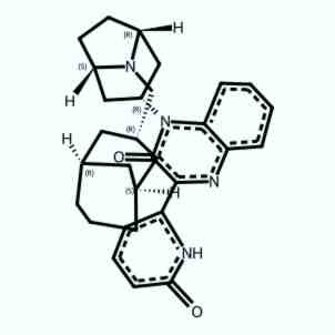 O=c1cccc(-c2nc3ccccc3n([C@H]3C[C@H]4CC[C@@H](C3)N4C[C@H]3C[C@@H]4CCC[C@@H](C4)C3)c2=O)[nH]1